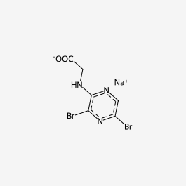 O=C([O-])CNc1ncc(Br)nc1Br.[Na+]